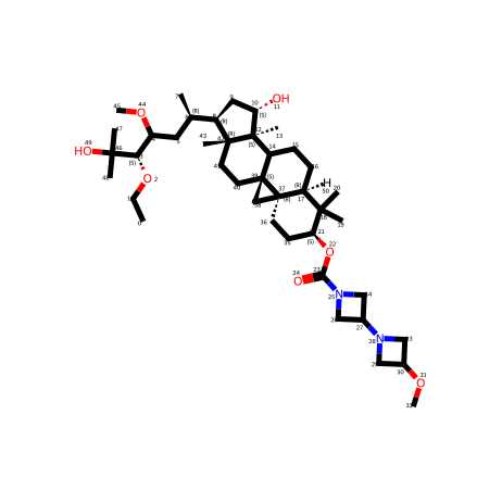 CCO[C@@H](C(C[C@@H](C)[C@H]1C[C@H](O)[C@@]2(C)C3CC[C@H]4C(C)(C)[C@@H](OC(=O)N5CC(N6CC(OC)C6)C5)CC[C@@]45C[C@@]35CC[C@]12C)OC)C(C)(C)O